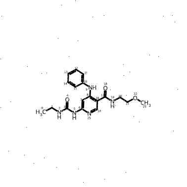 CCNC(=O)Nc1cc(Nc2ccccc2)c(C(=O)NCCOC)cn1